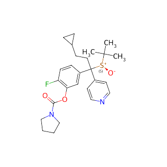 CC(C)(C)[S@@+]([O-])C(CCC1CC1)(c1ccncc1)c1ccc(F)c(OC(=O)N2CCCC2)c1